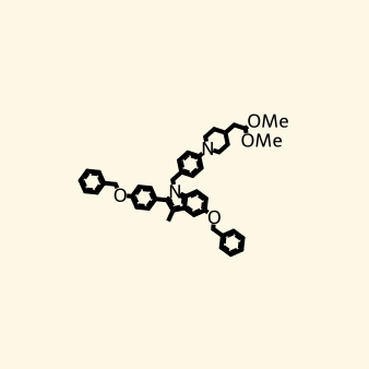 COC(CC1CCN(c2ccc(Cn3c(-c4ccc(OCc5ccccc5)cc4)c(C)c4cc(OCc5ccccc5)ccc43)cc2)CC1)OC